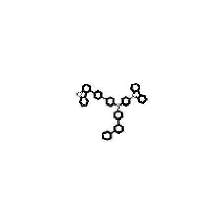 c1ccc(-c2cccc(-c3ccc(N(c4ccc(-c5ccc(-c6cccc7oc8ccccc8c67)cc5)cc4)c4ccc(-n5c6ccccc6c6ccccc65)cc4)cc3)c2)cc1